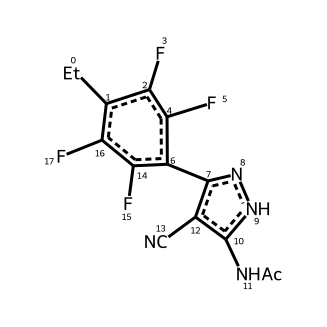 CCc1c(F)c(F)c(-c2n[nH]c(NC(C)=O)c2C#N)c(F)c1F